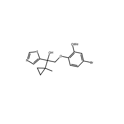 COc1cc(Br)ccc1OCC(O)(c1cncs1)C1(C)CC1